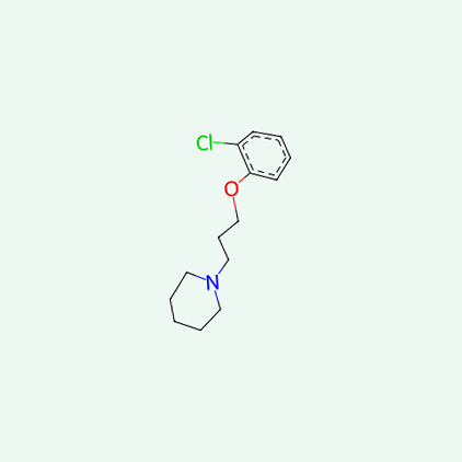 Clc1ccccc1OCCCN1CCCCC1